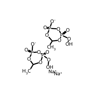 CC1OP(=O)([O-])OP(=O)(OO)O1.CC1OP(=O)([O-])OP(=O)(OO)O1.[Na+].[Na+]